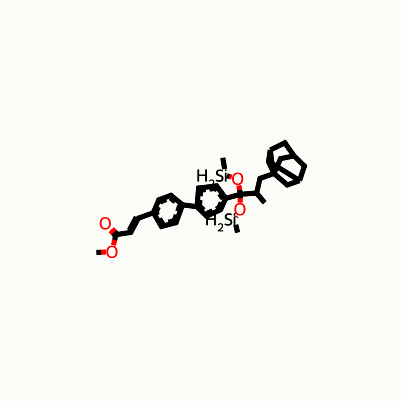 COC(=O)/C=C/c1ccc(-c2ccc(C(O[SiH2]C)(O[SiH2]C)C(C)CC34CC5CC(CC(C5)C3)C4)cc2)cc1